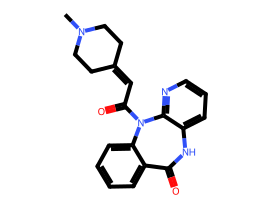 CN1CCC(=CC(=O)N2c3ccccc3C(=O)Nc3cccnc32)CC1